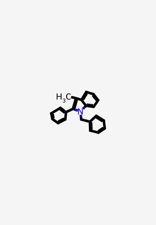 Cc1c(-c2ccccc2)n(Cc2ccccc2)c2ccccc12